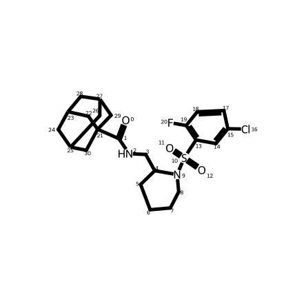 O=C(NCC1CCCCN1S(=O)(=O)c1cc(Cl)ccc1F)C12CC3CC(CC(C3)C1)C2